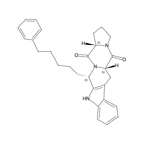 O=C1[C@@H]2Cc3c([nH]c4ccccc34)[C@H](CCCCCc3ccccc3)N2C(=O)[C@@H]2CCCN12